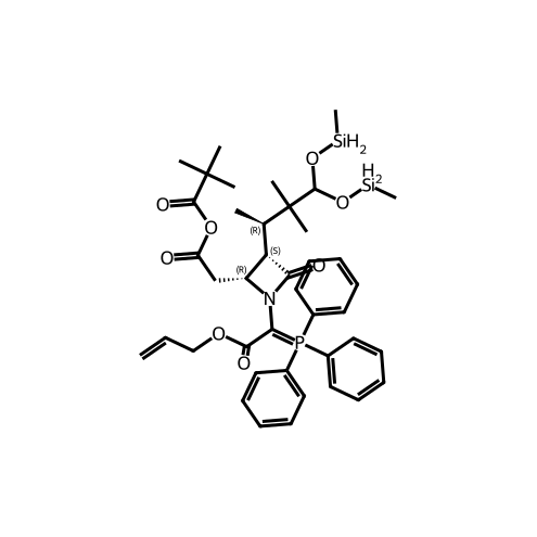 C=CCOC(=O)C(N1C(=O)[C@@H]([C@@H](C)C(C)(C)C(O[SiH2]C)O[SiH2]C)[C@H]1CC(=O)OC(=O)C(C)(C)C)=P(c1ccccc1)(c1ccccc1)c1ccccc1